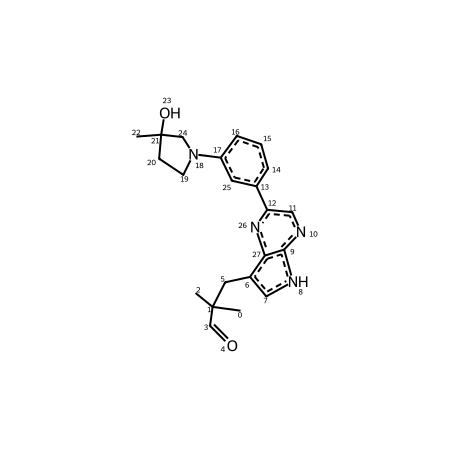 CC(C)(C=O)Cc1c[nH]c2ncc(-c3cccc(N4CCC(C)(O)C4)c3)nc12